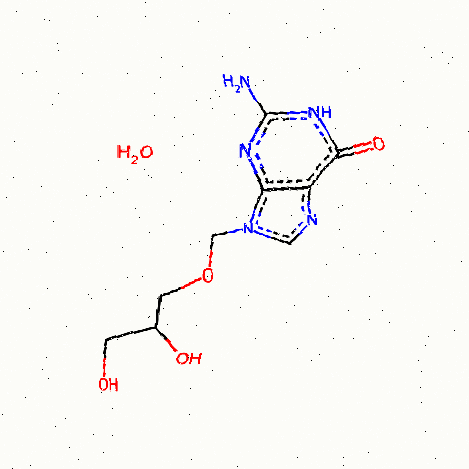 Nc1nc2c(ncn2COCC(O)CO)c(=O)[nH]1.O